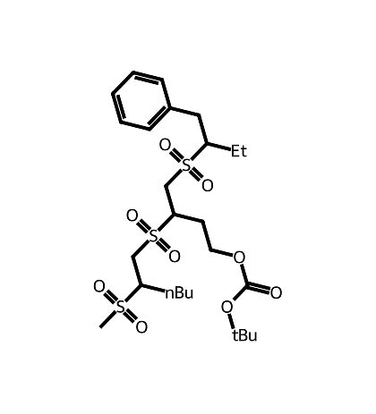 CCCCC(CS(=O)(=O)C(CCOC(=O)OC(C)(C)C)CS(=O)(=O)C(CC)Cc1ccccc1)S(C)(=O)=O